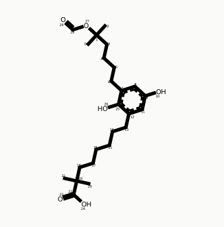 CC(C)(CCCCc1cc(O)cc(CCCCCCC(C)(C)C(=O)O)c1O)OC=O